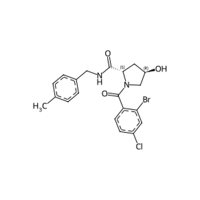 Cc1ccc(CNC(=O)[C@@H]2C[C@@H](O)CN2C(=O)c2ccc(Cl)cc2Br)cc1